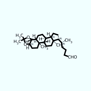 C[C@H](CCCC=O)[C@H]1CC[C@H]2[C@@H]3CC[C@H]4[C@H]5OC(C)(C)O[C@H]5CC[C@]4(C)[C@H]3CC[C@]12C